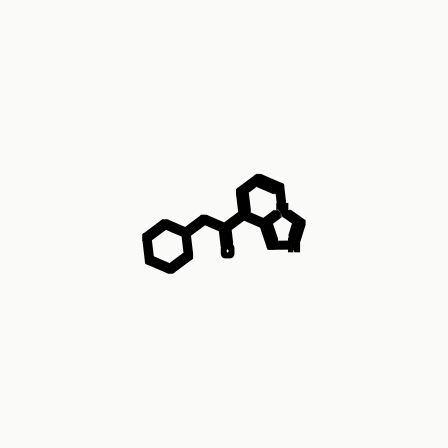 O=C(CC1CCCCC1)c1cccn2cncc12